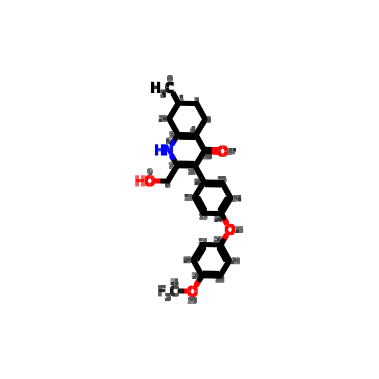 CC1CCc2c([nH]c(CO)c(-c3ccc(Oc4ccc(OC(F)(F)F)cc4)cc3)c2=O)C1